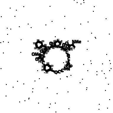 CN[C@@H](C)C(=O)N[C@H]1COCc2cn(nn2)CCOc2ccc(cc2)C[C@@H](C(=O)OC)NC(=O)[C@H](Cc2ccccc2)NC(=O)[C@@H]2CCCN2C1=O